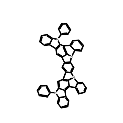 c1ccc(-n2c3ccccc3c3c4c5ccccc5n5c6cc7c(cc6c(cc32)c45)c2cc3c4ccccc4n(-c4ccccc4)c3c3c4ccccc4n7c23)cc1